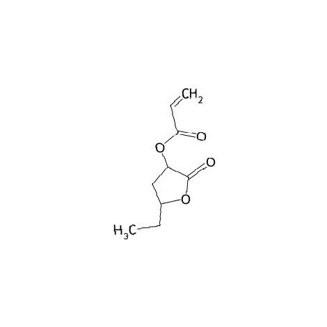 C=CC(=O)OC1CC(CC)OC1=O